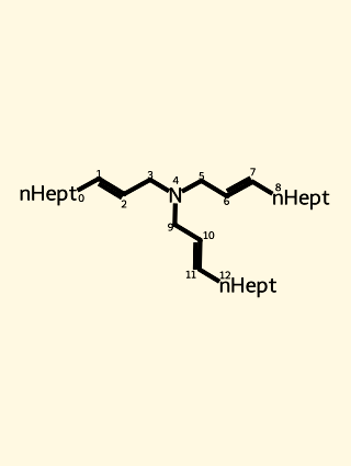 CCCCCCC/C=C/CN(C/C=C/CCCCCCC)C/C=C/CCCCCCC